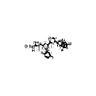 Cc1ccc(F)c(C(=O)N[C@@H](CCCNC(=N)N[N+](=O)[O-])C(=O)N[C@@H](CC(C)C)B2O[C@@H]3C[C@@H]4C[C@@H](C4(C)C)[C@]3(C)O2)c1